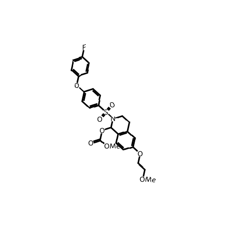 COCCOc1ccc2c(c1)CCN(S(=O)(=O)c1ccc(Oc3ccc(F)cc3)cc1)C2OC(=O)OC